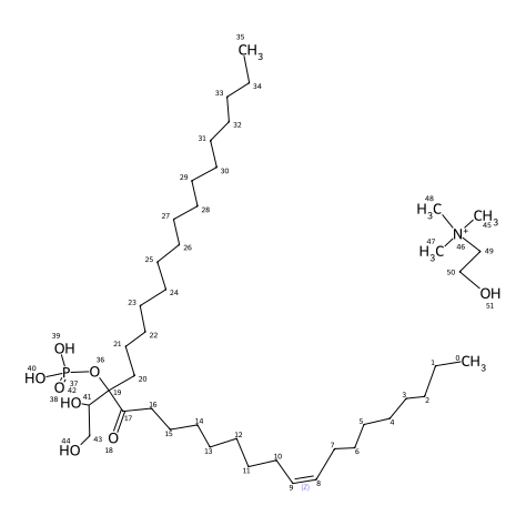 CCCCCCCC/C=C\CCCCCCCC(=O)C(CCCCCCCCCCCCCCCC)(OP(=O)(O)O)C(O)CO.C[N+](C)(C)CCO